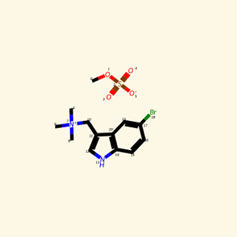 COS(=O)(=O)[O-].C[N+](C)(C)Cc1c[nH]c2ccc(Br)cc12